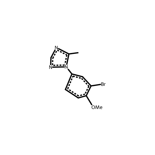 COc1ccc(-n2ncnc2C)cc1Br